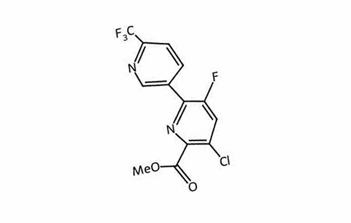 COC(=O)c1nc(-c2ccc(C(F)(F)F)nc2)c(F)cc1Cl